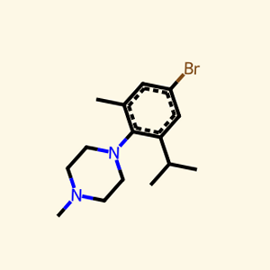 Cc1cc(Br)cc(C(C)C)c1N1CCN(C)CC1